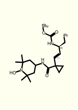 CC(C)C[C@@H](/C=C/C1(C(=O)NC2CC(C)(C)N(O)C(C)(C)C2)CC1)NC(=O)OC(C)(C)C